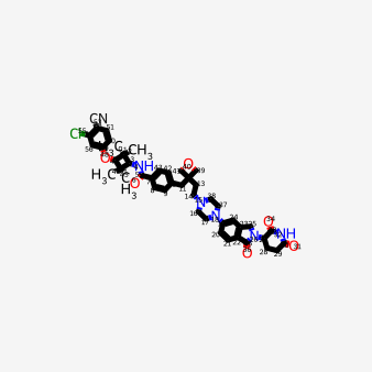 CC1(C)C(NC(=O)c2ccc(CC3(CCN4CCN(c5ccc6c(c5)CN(C5CCC(=O)NC5=O)C6=O)CC4)COC3)cc2)C(C)(C)C1Oc1ccc(C#N)c(Cl)c1